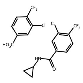 O=C(NC1CC1)c1ccc(C(F)(F)F)c(Cl)c1.O=C(O)c1ccc(C(F)(F)F)c(Cl)c1